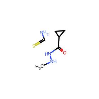 CNNC(=O)C1CC1.NC=S